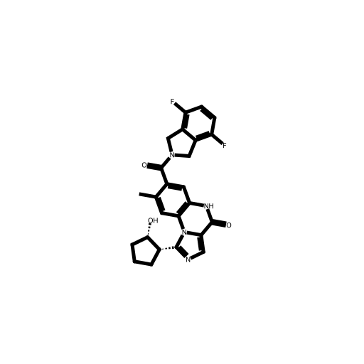 Cc1cc2c(cc1C(=O)N1Cc3c(F)ccc(F)c3C1)[nH]c(=O)c1cnc([C@@H]3CCC[C@@H]3O)n12